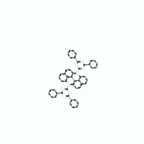 c1ccc(-c2nc(-c3ccccc3)nc(-n3c4ccc5cccc6c5c4-c4c5c(cccc53)ccc4n6-c3nc(-c4ccccc4)nc(-c4ccccc4)n3)n2)cc1